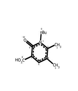 CCCCn1c(C)c(C)cc(C(=O)O)c1=O